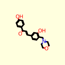 O=C(/C=C/c1ccc(CN2CCOCC2)c(O)c1)c1ccc(O)cc1